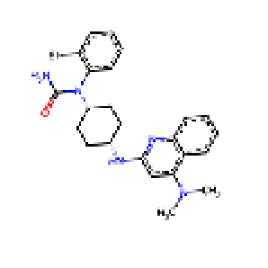 CCc1ccccc1N(C(N)=O)[C@H]1CC[C@@H](Nc2cc(N(C)C)c3ccccc3n2)CC1